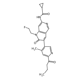 CCCC(=O)c1cc(C)c(-c2cc3cnc(NC(=O)C4CC4)cc3n(CCF)c2=O)cn1